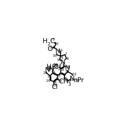 C=CC(=O)N1CC2(CCN(c3nc4c(c(-c5c(C)c(Cl)cc6cnn(C)c56)c3C)CCN(CCC)C4)C2)C1